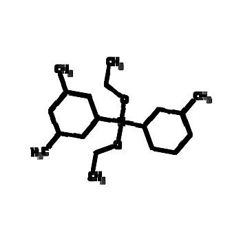 CCO[Si](OCC)(C1CCCC(C)C1)C1CC(C)CC(C)C1